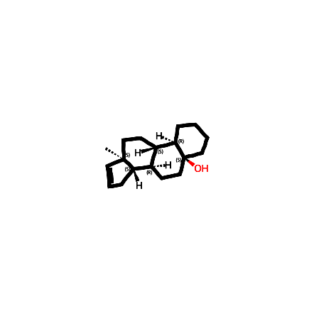 C[C@@]12C=CC[C@H]1[C@@H]1CC[C@@]3(O)CCCC[C@@H]3[C@H]1CC2